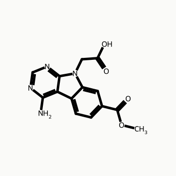 COC(=O)c1ccc2c3c(N)ncnc3n(CC(=O)O)c2c1